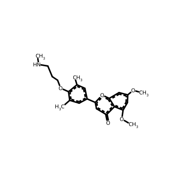 CNCCCOc1c(C)cc(-c2cc(=O)c3c(OC)cc(OC)cc3o2)cc1C